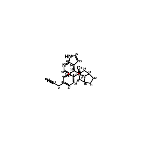 N#CCc1ccc(C(=O)N2C3CCC2CN(c2ncnc4[nH]ccc24)C3)cc1